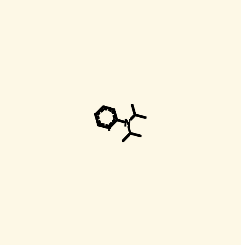 CC(C)N(c1[c]cccc1)C(C)C